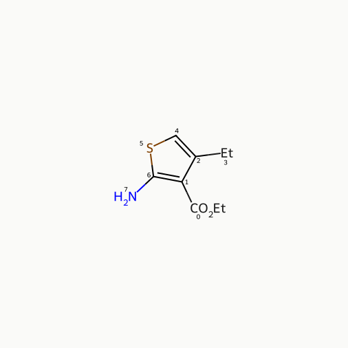 CCOC(=O)c1c(CC)csc1N